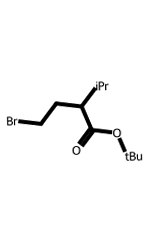 CC(C)C(CCBr)C(=O)OC(C)(C)C